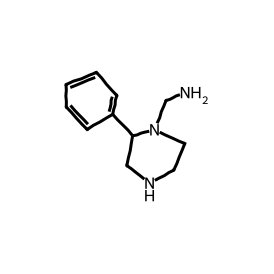 NCN1CCNCC1c1ccccc1